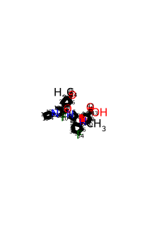 CCOC[C@H]1CN(C(=O)[C@]2(F)CN(C3CCCC3)C[C@H]2c2ccc(OC)cc2)C[C@@H]1c1ccc(F)cc1N1CCC(C(=O)O)CC1